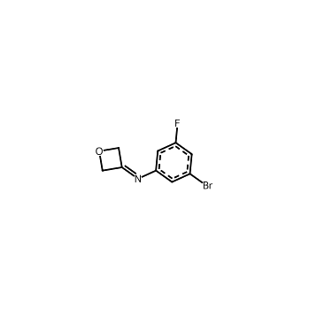 Fc1cc(Br)cc(N=C2COC2)c1